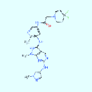 Cc1ncc(NC(=O)CN2CCC(F)(F)CC2)cc1NC1NN(C)c2nc(Nc3cnn(C)c3)ncc21